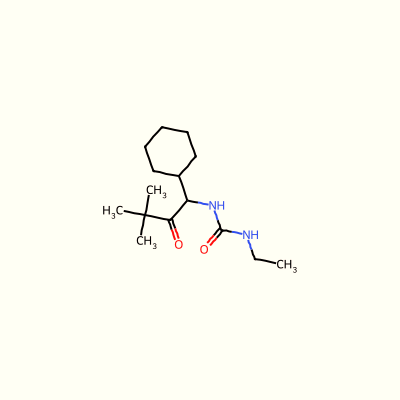 CCNC(=O)NC(C(=O)C(C)(C)C)C1CCCCC1